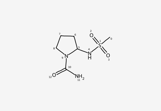 CS(=O)(=O)NC1CCCN1C(N)=O